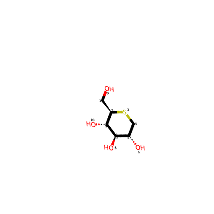 OC[C@H]1SC[C@H](O)[C@@H](O)[C@@H]1O